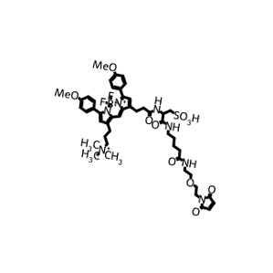 COc1ccc(C2=[N+]3C(=Cc4c(CCC[N+](C)(C)C)cc(-c5ccc(OC)cc5)n4[B-]3(F)F)C(CCC(=O)NC(CS(=O)(=O)O)C(=O)NCCCCC(=O)NCCOCCN3C(=O)C=CC3=O)=C2)cc1